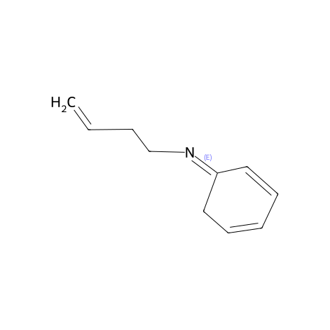 C=CCC/N=C1/C=CC=CC1